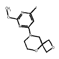 COc1nc(I)cc(N2CCOC3(COC3)C2)n1